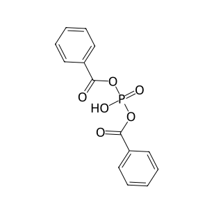 O=C(OP(=O)(O)OC(=O)c1ccccc1)c1ccccc1